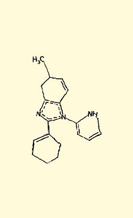 CC1C=Cc2c(nc(C3=CCCCC3)n2C2=CC=CCN2)C1